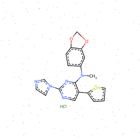 CN(c1ccc2c(c1)OCO2)c1nc(-n2ccnc2)ncc1-c1cccs1.Cl